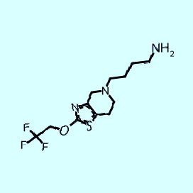 NCCCCN1CCc2sc(OCC(F)(F)F)nc2C1